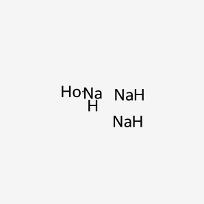 [Ho].[NaH].[NaH].[NaH]